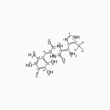 B/C(c1nc[nH]c1C(C)(C)C)=c1/[nH]c(=O)/c(=C/c2c(B)c(O)c(F)c(O)c2O)[nH]c1=O